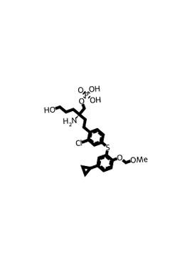 COCOc1ccc(C2CC2)cc1Sc1ccc(CC[C@@](N)(CCCO)COP(=O)(O)O)c(Cl)c1